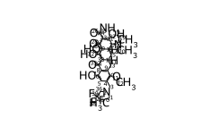 CCN(Cc1cc(O)c2c(c1OC)C[C@H]1C[C@H]3[C@H](N(C)C)C(O)=C(C(N)=O)C(=O)[C@@]3(O)C(O)=C1C2=O)CC(F)(F)F